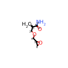 C=C(COCC1CO1)C(N)=O